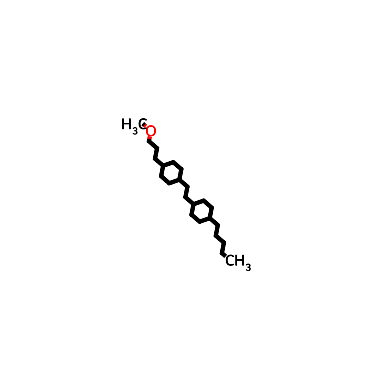 CCCCCC1CCC(CCC2CCC(CCCOC)CC2)CC1